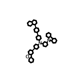 c1cc(N(c2ccc(-c3ccc(-c4cccc5ccccc45)cc3)cc2)c2ccc(-c3ccc4oc5ccccc5c4c3)cc2)cc(-n2c3ccccc3c3ccccc32)c1